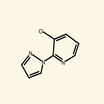 Clc1cccnc1-n1[c]ccn1